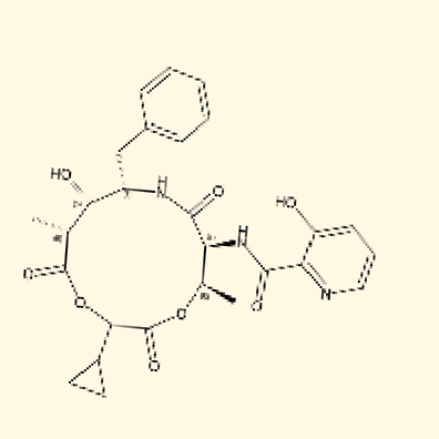 C[C@H]1OC(=O)C(C2CC2)OC(=O)[C@H](C)[C@H](O)[C@H](Cc2ccccc2)NC(=O)[C@H]1NC(=O)c1ncccc1O